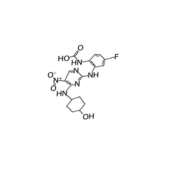 O=C(O)Nc1ccc(F)cc1Nc1ncc([N+](=O)[O-])c(NC2CCC(O)CC2)n1